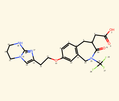 O=C(O)CC1Cc2ccc(OCCc3cn4c(n3)NCCC4)cc2CN(C(F)(F)F)C1=O